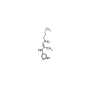 CCCCC(=O)/C=C(\C)Nc1cn[nH]c1